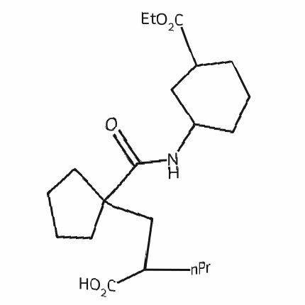 CCCC(CC1(C(=O)NC2CCCC(C(=O)OCC)C2)CCCC1)C(=O)O